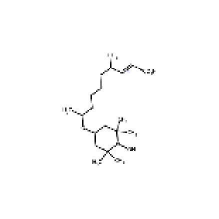 CC(/C=C/C(=O)O)CCCCC(C)OC1CC(C)(C)N(O)C(C)(C)C1